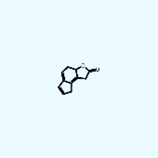 O=C1CC2=C3CC=CC3=CCC2O1